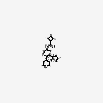 O=C(Nc1cnc(-c2ccncc2)c(-c2ccco2)n1)C1CCC1